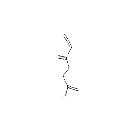 C=CC(=O)CCC(N)=O